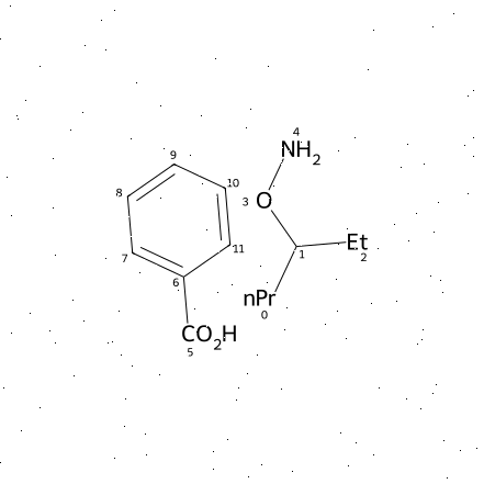 CCCC(CC)ON.O=C(O)c1ccccc1